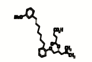 COc1cccc(CCCCCCCc2ccccc2OCC(CN(C)C)OC(=O)CCC(=O)O)c1